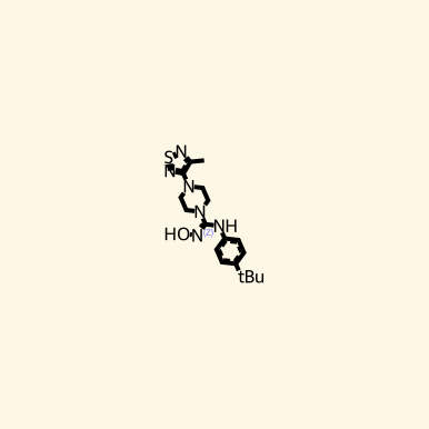 Cc1nsnc1N1CCN(/C(=N\O)Nc2ccc(C(C)(C)C)cc2)CC1